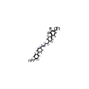 CCCc1ccc(C2CCC(/C=C/CCC3CC=C(c4ccc(OCC)c(F)c4F)CC3)CC2)cc1